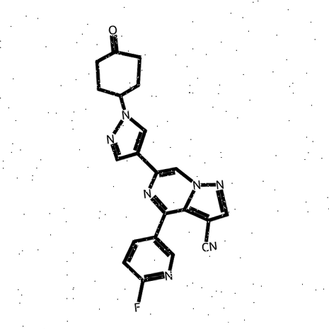 N#Cc1cnn2cc(-c3cnn(C4CCC(=O)CC4)c3)nc(-c3ccc(F)nc3)c12